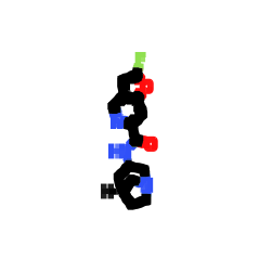 O=C(N[C@@H]1C[C@@H]2CCN(C2)C1)c1cc2oc(F)cc2cn1